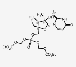 C=C1NC(=O)C=CN1[C@@H]1O[C@](CF)(COP(=O)(OCOC(=O)OCC)OCOC(=O)OCC)[C@@H](O)[C@@]1(C)O